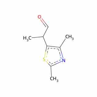 Cc1nc(C)c(C(C)C=O)s1